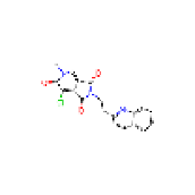 Cn1cc2c(c(Cl)c1=O)C(=O)N(CCc1ccc3ccccc3n1)C2=O